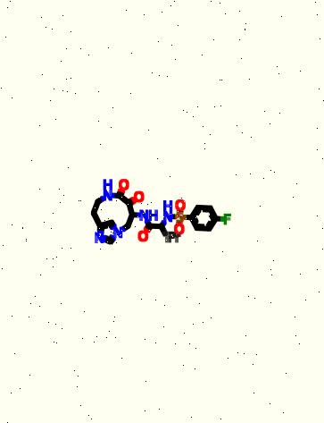 CC(C)C(NS(=O)(=O)c1ccc(F)cc1)C(=O)NC1Cn2cnc(c2)CCNC(=O)C1=O